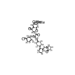 COc1cc2oc(C(=O)N[C@H](C=C3CCC(c4ccccc4CN4CCCC4=O)CC3)Cc3ccc(Cl)cc3)cc(=O)c2cc1OC